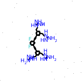 N=C(N)NCCc1cc(C#Cc2cc(C#Cc3cc(CCNC(=N)N)cc(CCNC(=N)N)c3)c(F)cc2F)cc(CCNC(=N)N)c1